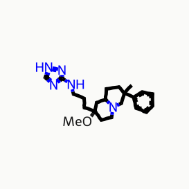 COC1(CCCNc2nc[nH]n2)CCN2CC(C)(c3ccccc3)CCC2C1